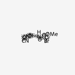 COc1ccc(Br)c2c1OCC(C(=O)NCCCCN1CCN(c3cccc(C#N)c3)CC1)=C2